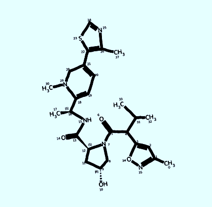 Cc1cc(C(C(=O)N2C[C@H](O)C[C@H]2C(=O)N[C@@H](C)C2=CC=C(c3scnc3C)CN2C)C(C)C)on1